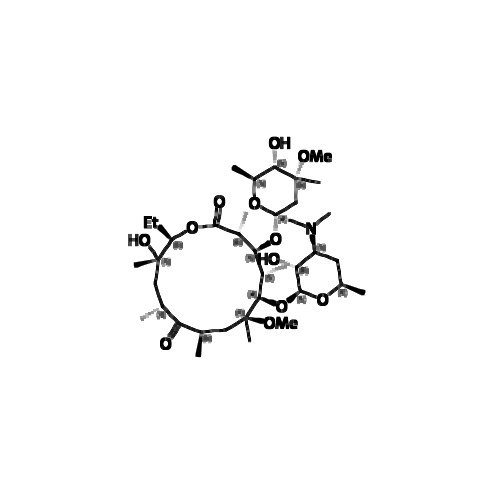 CC[C@H]1OC(=O)[C@H](C)[C@@H](O[C@H]2C[C@@](C)(OC)[C@@H](O)[C@H](C)O2)[C@H](C)[C@@H](O[C@@H]2O[C@H](C)C[C@H](N(C)C)[C@H]2O)[C@@](C)(OC)C[C@@H](C)C(=O)[C@H](C)C[C@]1(C)O